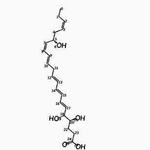 CC/C=C\C[C@@H](O)/C=C\C=C\C/C=C/C=C/C=C/C(O)[C@@H](O)CCC(=O)O